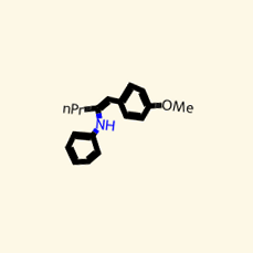 CCC/C(=C/c1ccc(OC)cc1)Nc1ccccc1